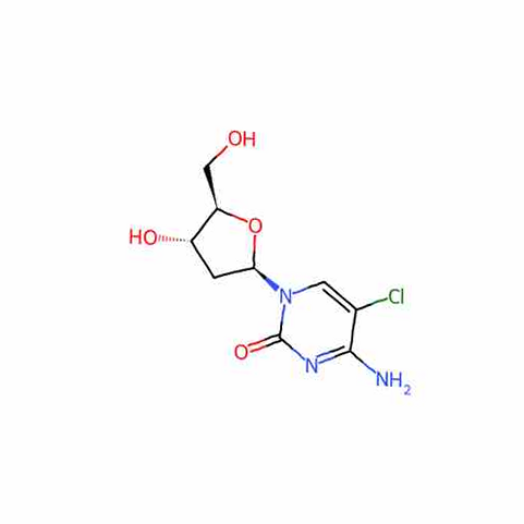 Nc1nc(=O)n([C@H]2C[C@H](O)[C@@H](CO)O2)cc1Cl